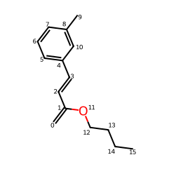 C=C(/C=C/c1cccc(C)c1)OCCCC